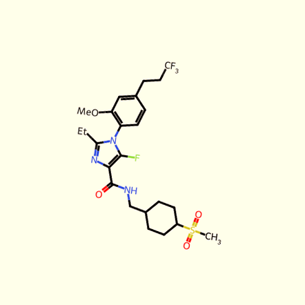 CCc1nc(C(=O)NCC2CCC(S(C)(=O)=O)CC2)c(F)n1-c1ccc(CCC(F)(F)F)cc1OC